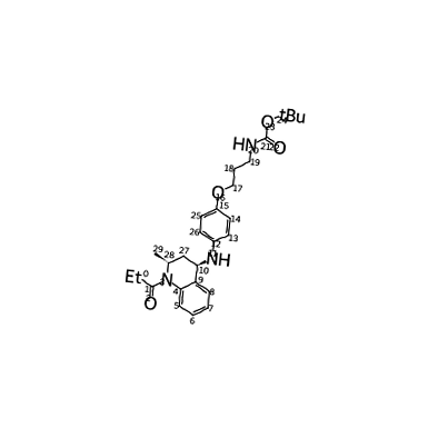 CCC(=O)N1c2ccccc2[C@H](Nc2ccc(OCCCNC(=O)OC(C)(C)C)cc2)C[C@@H]1C